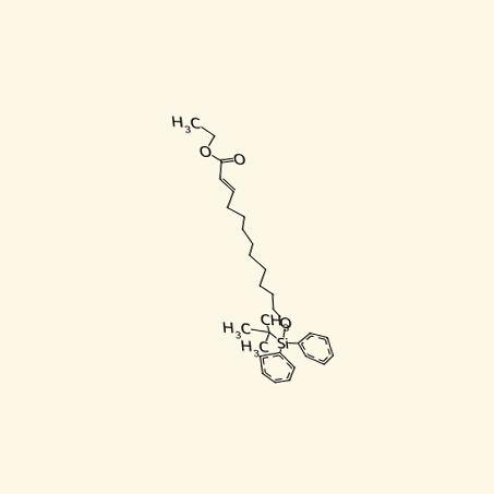 CCOC(=O)C=CCCCCCCCCCO[Si](c1ccccc1)(c1ccccc1)C(C)(C)C